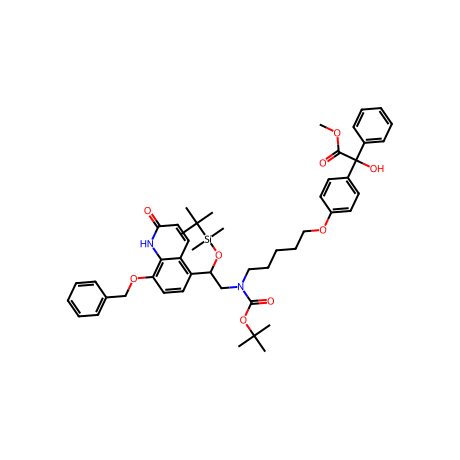 COC(=O)C(O)(c1ccccc1)c1ccc(OCCCCCN(CC(O[Si](C)(C)C(C)(C)C)c2ccc(OCc3ccccc3)c3[nH]c(=O)ccc23)C(=O)OC(C)(C)C)cc1